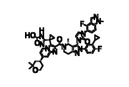 C[C@H]1c2c(nn(-c3ccc(F)c(C4CC4)c3)c2-n2ccn(-c3ccc4c(cnn4C)c3F)c2=O)CCN1C(=O)c1nc2cc([C@H]3CCOC(C)(C)C3)ccn2c1C1(C2=NOC(O)N2)CC1